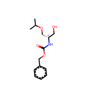 CC(C)OC[C@H](CO)NC(=O)OCc1ccccc1